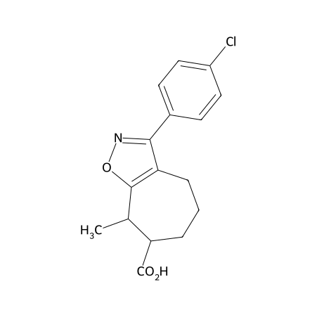 CC1c2onc(-c3ccc(Cl)cc3)c2CCCC1C(=O)O